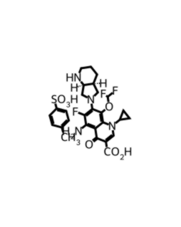 Cc1ccc(S(=O)(=O)O)cc1.Nc1c(F)c(N2C[C@@H]3CCCN[C@@H]3C2)c(OC(F)F)c2c1c(=O)c(C(=O)O)cn2C1CC1